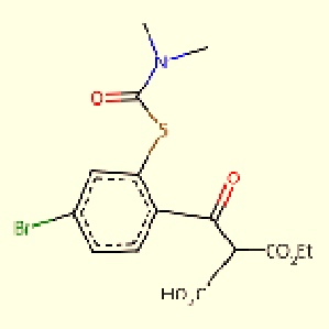 CCOC(=O)C(C(=O)O)C(=O)c1ccc(Br)cc1SC(=O)N(C)C